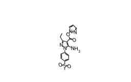 CCc1nn(-c2ccc(S(C)(=O)=O)cc2)c(N)c1C(=O)On1cccn1